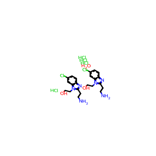 Cl.Cl.Cl.Cl.NCCc1nc2ccc(Cl)cc2n1CCO.NCCc1nc2ccc(Cl)cc2n1CCO.O